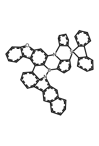 c1ccc2c(c1)-c1ccccc1[Si]21c2ccccc2N2c3cc4oc5ccccc5c4c4c3B(c3cccc1c32)n1c2cc3ccccc3cc2c2cccc-4c21